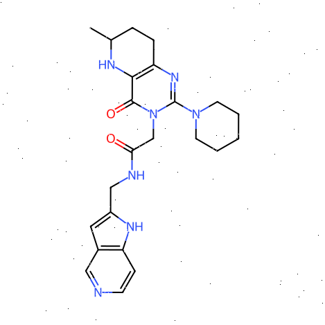 CC1CCc2nc(N3CCCCC3)n(CC(=O)NCc3cc4cnccc4[nH]3)c(=O)c2N1